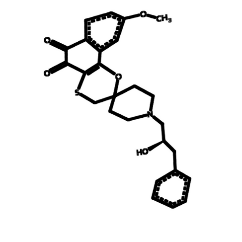 COc1ccc2c(c1)C1=C(SCC3(CCN(C[C@H](O)Cc4ccccc4)CC3)O1)C(=O)C2=O